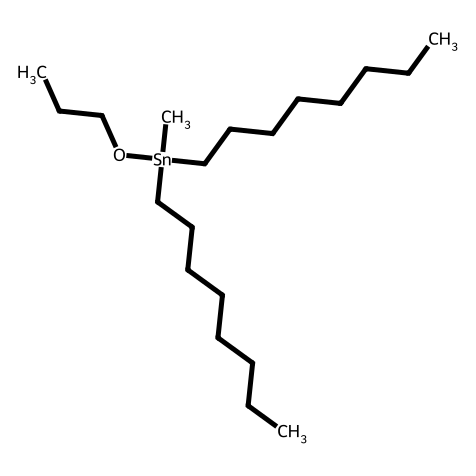 CCCCCCC[CH2][Sn]([CH3])([CH2]CCCCCCC)[O]CCC